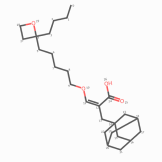 CCCCC1(CCCCCOC=C(CC23CC4CC(CC(C4)C2)C3)C(=O)O)CCO1